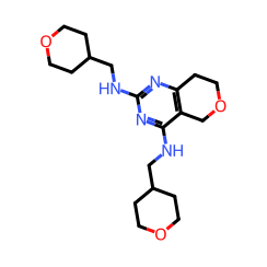 C1CC(CNc2nc3c(c(NCC4CCOCC4)n2)COCC3)CCO1